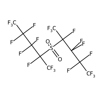 O=S(=O)(C(F)(C(F)(F)F)C(F)(F)C(F)(F)C(F)(F)F)C(F)(C(F)(F)F)C(F)(F)C(F)(F)C(F)(F)F